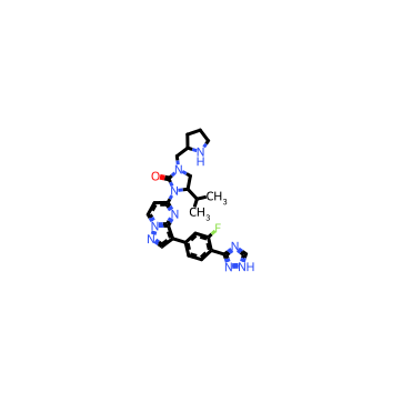 CC(C)C1CN(CC2CCCN2)C(=O)N1c1ccn2ncc(-c3ccc(-c4nc[nH]n4)c(F)c3)c2n1